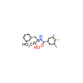 Cc1cc(C(=O)N[C@H](Cc2ccccc2)[C@@H](O)C(=O)O)cc(C)c1F